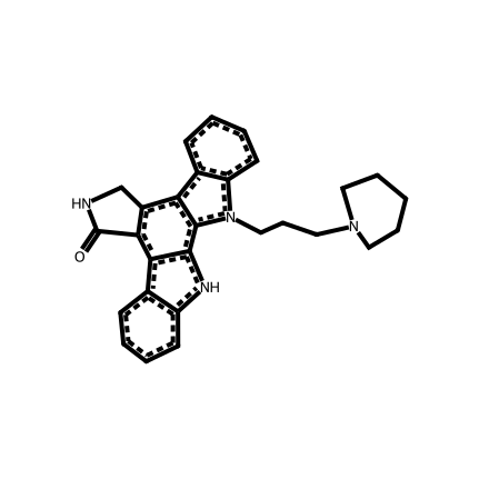 O=C1NCc2c1c1c3ccccc3[nH]c1c1c2c2ccccc2n1CCCN1CCCCC1